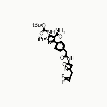 CC(C)n1nc(-c2ccc(CC(=O)Nc3cc(CC4CC4(F)F)no3)cc2)c(C(N)=O)c1NC(=O)OC(C)(C)C